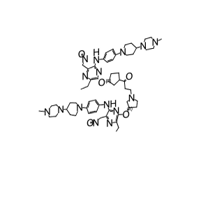 CCc1nc(CN=O)c(Nc2ccc(N3CCC(N4CCN(C)CC4)CC3)cc2)nc1O[C@@H]1CCC(C(=O)CCN2CC[C@@H](Oc3nc(Nc4ccc(N5CCC(N6CCN(C)CC6)CC5)cc4)c(CN=O)nc3CC)C2)C1